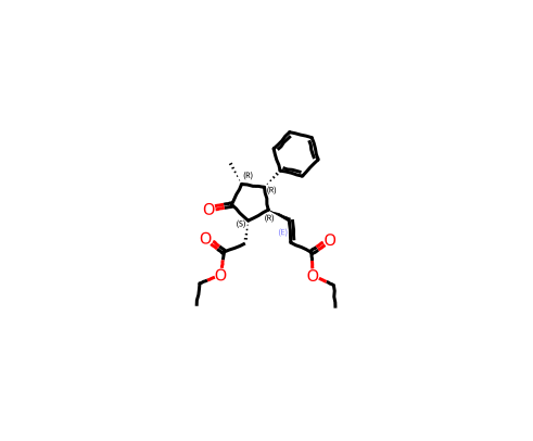 CCOC(=O)/C=C/[C@@H]1[C@@H](c2ccccc2)[C@@H](C)C(=O)[C@H]1CC(=O)OCC